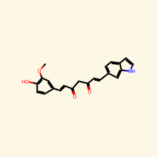 COc1cc(C=CC(=O)CC(=O)C=Cc2ccc3cc[nH]c3c2)ccc1O